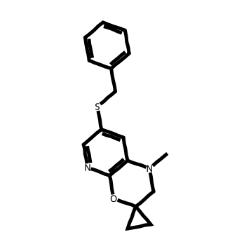 CN1CC2(CC2)Oc2ncc(SCc3ccccc3)cc21